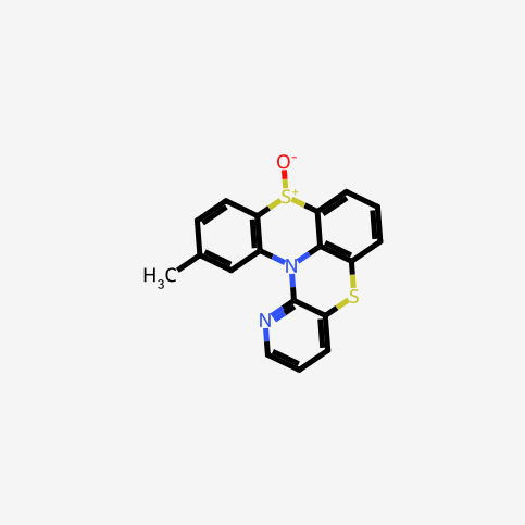 Cc1ccc2c(c1)N1c3ncccc3Sc3cccc(c31)[S+]2[O-]